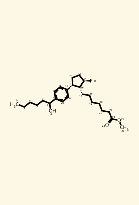 CCCCCC(O)c1ccc([C@H]2CC[C@@H](F)[C@@H]2CCCCCCC(=O)OC)cc1